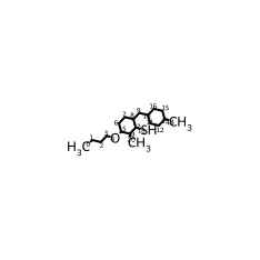 CCCCOC1CCC(CC2CCC(C)CC2)C(S)C1C